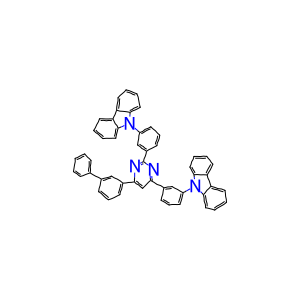 c1ccc(-c2cccc(-c3cc(-c4cccc(-n5c6ccccc6c6ccccc65)c4)nc(-c4cccc(-n5c6ccccc6c6ccccc65)c4)n3)c2)cc1